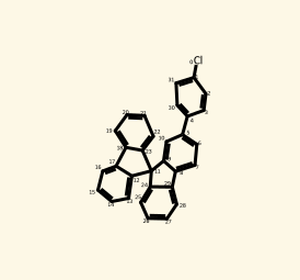 Clc1ccc(-c2ccc3c(c2)C2(c4ccccc4-c4ccccc42)c2ccccc2-3)cc1